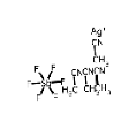 CC#N.CC#N.CC#N.CC#N.[Ag+].[F][Sb-]([F])([F])([F])([F])[F]